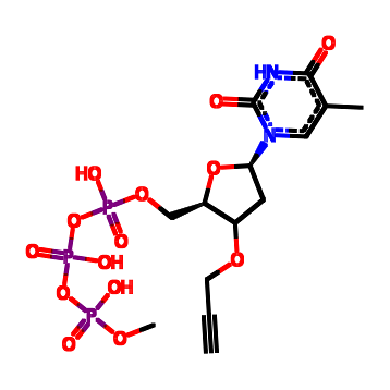 C#CCOC1C[C@H](n2cc(C)c(=O)[nH]c2=O)O[C@@H]1COP(=O)(O)OP(=O)(O)OP(=O)(O)OC